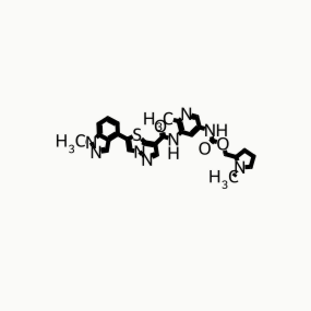 Cc1ncc(NC(=O)OCC2CCCN2C)cc1NC(=O)c1cnn2cc(-c3cccc4c3cnn4C)sc12